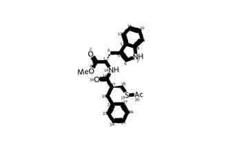 COC(=O)[C@H](Cc1c[nH]c2ccccc12)NC(=O)[C@@H](CSC(C)=O)Cc1ccccc1